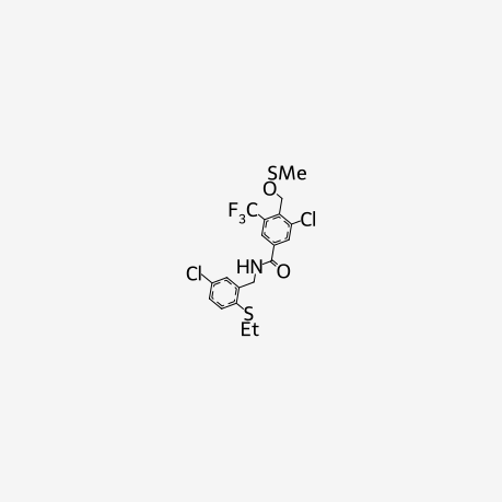 CCSc1ccc(Cl)cc1CNC(=O)c1cc(Cl)c(COSC)c(C(F)(F)F)c1